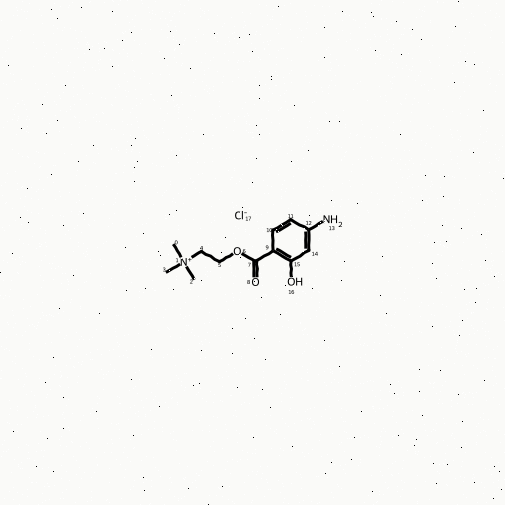 C[N+](C)(C)CCOC(=O)c1ccc(N)cc1O.[Cl-]